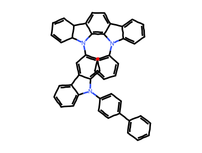 C1=CC2c3ccc4c5ccccc5n(-c5ccccc5)c4c3N(c3ccc4c(c3)c3ccccc3n4-c3ccc(-c4ccccc4)cc3)C2C=C1